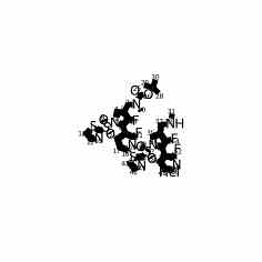 CN(Cc1cn(S(=O)(=O)c2nccs2)c(-c2cccnc2F)c1F)C(=O)OC(C)(C)C.CNCc1cn(S(=O)(=O)c2nccs2)c(-c2cccnc2F)c1F.Cl